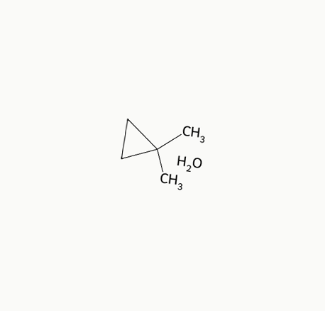 CC1(C)CC1.O